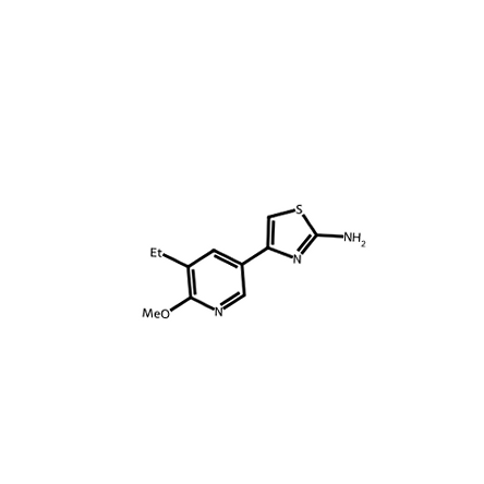 CCc1cc(-c2csc(N)n2)cnc1OC